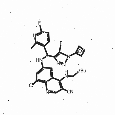 Cc1nc(F)ccc1C(Nc1cc(Cl)c2ncc(C#N)c(NCC(C)(C)C)c2c1)c1nnn(C23CC(C2)C3)c1F